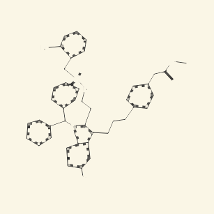 COC(=O)Cc1ccc(CCCc2c(CCNS(=O)(=O)Cc3ccccc3Br)n(C(c3ccccc3)c3ccccc3)c3ccc(Cl)cc23)cc1